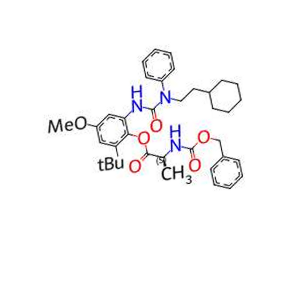 COc1cc(NC(=O)N(CCC2CCCCC2)c2ccccc2)c(OC(=O)[C@H](C)NC(=O)OCc2ccccc2)c(C(C)(C)C)c1